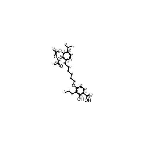 CCCc1c(OCCCCCCc2ccc(C(C)C)c(OC(C)=O)c2OC(C)=O)ccc(C(=O)O)c1O